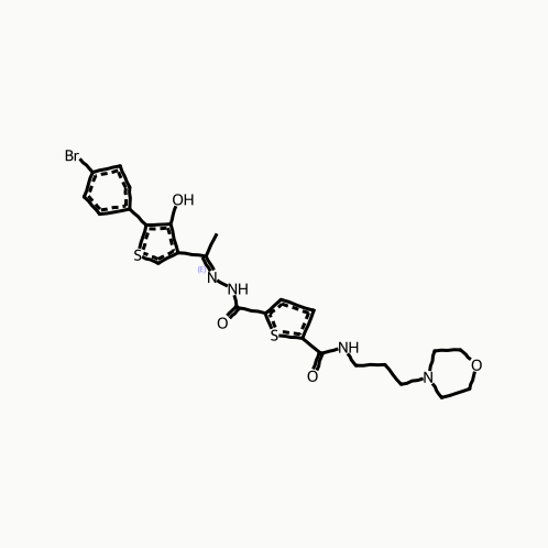 C/C(=N\NC(=O)c1ccc(C(=O)NCCCN2CCOCC2)s1)c1csc(-c2ccc(Br)cc2)c1O